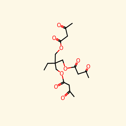 CCC(COC(=O)CC(C)=O)(COC(=O)CC(C)=O)COC(=O)CC(C)=O